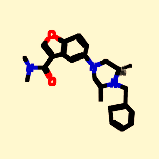 CC1CN(c2ccc3occ(C(=O)N(C)C)c3c2)C[C@H](C)N1Cc1ccccc1